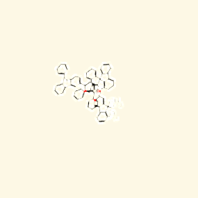 CC1(C)c2ccccc2-c2ccc(N(c3ccc(-c4ccc5c(c4)c4ccccc4n5-c4ccccc4)cc3)c3cccc4c3C3(c5ccccc5-4)c4ccccc4-c4c3sc(-c3ccccc3)c4-c3ccccc3)cc21